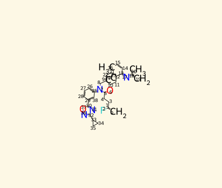 C=C(F)CCC(=O)N(CC12CCC(C(/C=C\C)=N/C(=C)C)(CC1)CC2)c1cccc(-c2nc(C3CC3)no2)c1